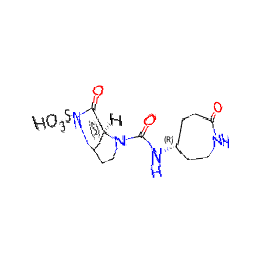 O=C1CC[C@@H](NC(=O)N2CCC3[C@H]2C(=O)N3S(=O)(=O)O)CCN1